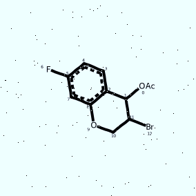 CC(=O)OC1c2ccc(F)cc2OCC1Br